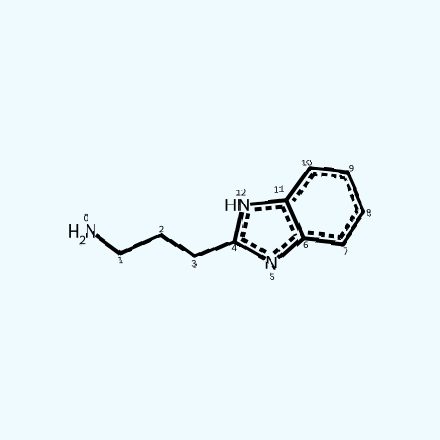 NCCCc1nc2ccccc2[nH]1